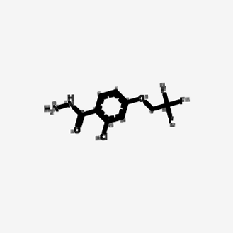 NNC(=O)c1ccc(OCC(F)(F)F)cc1Cl